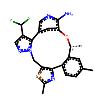 Cc1ccc2c(c1)[C@@H](C)Oc1cc(cnc1N)-c1c(C(F)F)cnn1Cc1sc(C)nc1-2